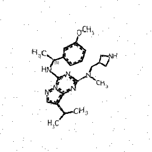 COc1cccc([C@H](C)Nc2nc(N(C)CC3CNC3)nc3c(C(C)C)cnn23)c1